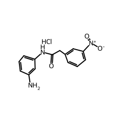 Cl.Nc1cccc(NC(=O)Cc2cccc([N+](=O)[O-])c2)c1